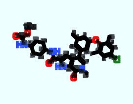 Cc1cc(Oc2c(C)cc(Cl)cc2C)cc(-c2cn(C)c(=O)c3[nH]c(C(=O)NC4CCC(NC(=O)OC(C)(C)C)CC4)cc23)c1